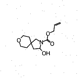 C=CCOC(=O)N1CC2(CCOCC2)CC1O